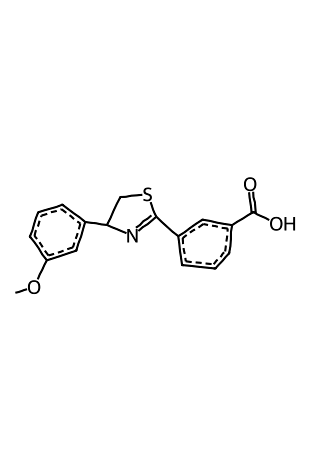 COc1cccc(C2CSC(c3cccc(C(=O)O)c3)=N2)c1